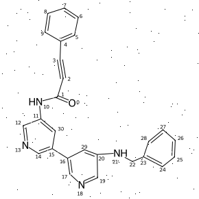 O=C(C#Cc1ccccc1)Nc1cncc(-c2cncc(NCc3ccccc3)c2)c1